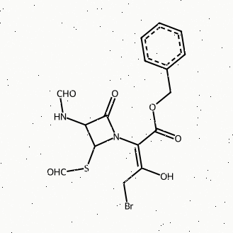 O=CNC1C(=O)N(C(C(=O)OCc2ccccc2)=C(O)CBr)C1SC=O